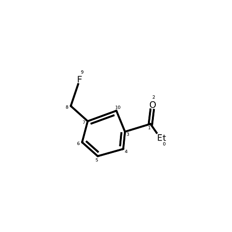 CCC(=O)c1cccc(CF)c1